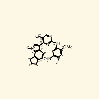 COc1cc(F)c([N+](=O)[O-])cc1Nc1ncc(Cl)c(-c2cn(C)c3c4c(ccc23)CCC4)n1